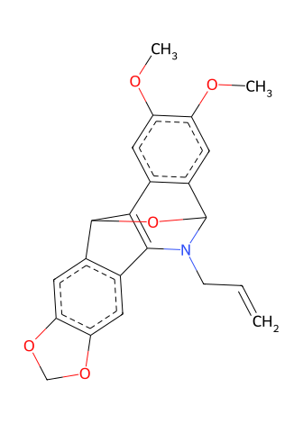 C=CCN1C2=C3c4cc(OC)c(OC)cc4C1OC3c1cc3c(cc12)OCO3